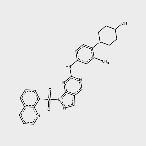 Cc1cc(Nc2ncc3cnn(S(=O)(=O)c4cccc5cccnc45)c3n2)ccc1N1CCC(O)CC1